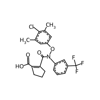 Cc1cc(ON(C(=O)C2=C(C(=O)O)CCC2)c2cccc(C(F)(F)F)c2)cc(C)c1Cl